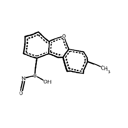 Cc1ccc2c(c1)oc1cccc(B(O)N=O)c12